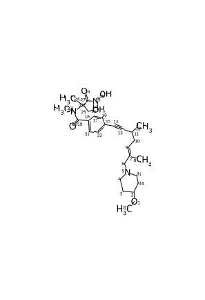 COC1CCN(C/C(C)=C/CC(C)C#Cc2ccc(C(=O)N(C)C(C)(CO)C(=O)NO)cc2)CC1